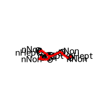 CCCCCCCCCC(CCCCCCCC(=O)OCC(CC)(COC(=O)CCCCCCCC(CCCCCCCCC)OC(=O)CCCCCCC)COC(=O)CCCCCCCC(CCCCCCCCC)OC(=O)CCCCCCCC(CCCCCCCCC)OC(=O)CCCCCCC)OC(=O)CCCCCCC